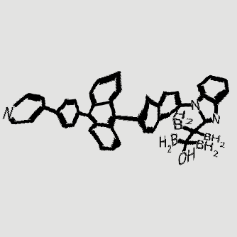 BC(B)(O)C(B)(B)c1nc2ccccc2n1-c1ccc2cc(-c3c4ccccc4c(-c4ccc(-c5ccncc5)cc4)c4ccccc34)ccc2c1